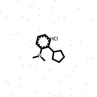 CN(C)c1ccccc1C1CCCC1.Cl